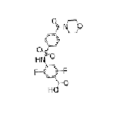 O=C(O)c1cc(F)c(NS(=O)(=O)c2ccc(C(=O)N3CCOCC3)cc2)cc1F